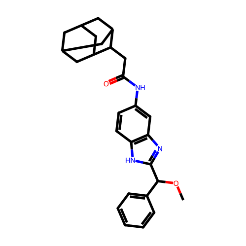 COC(c1ccccc1)c1nc2cc(NC(=O)CC3C4CC5CC(C4)CC3C5)ccc2[nH]1